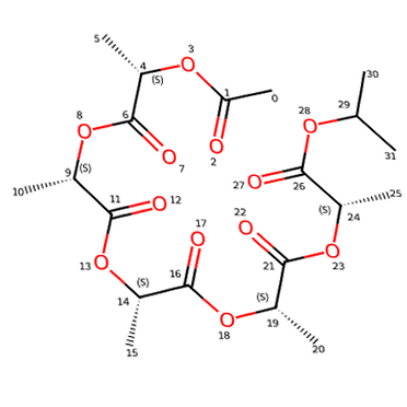 CC(=O)O[C@@H](C)C(=O)O[C@@H](C)C(=O)O[C@@H](C)C(=O)O[C@@H](C)C(=O)O[C@@H](C)C(=O)OC(C)C